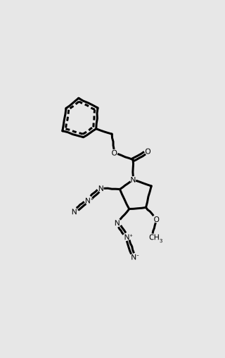 COC1CN(C(=O)OCc2ccccc2)C(N=[N+]=[N-])C1N=[N+]=[N-]